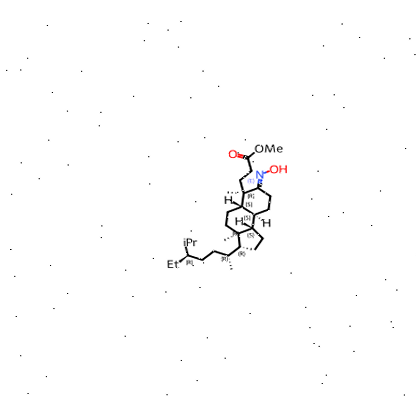 CC[C@H](CC[C@@H](C)[C@H]1CC[C@H]2[C@@H]3CC/C(=N\O)[C@](C)(CCC(=O)OC)[C@H]3CC[C@]12C)C(C)C